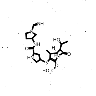 CC(O)C1C(=O)N2C(OC(=O)O)=C(SC3CNC(C(=O)NC4CCN(C=N)C4)C3)C(C)[C@@H]12